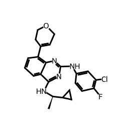 C[C@@H](Nc1nc(Nc2ccc(F)c(Cl)c2)nc2c(C3=CCOCC3)cccc12)C1CC1